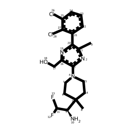 Cc1nc(N2CCC(C)([C@@H](N)C(F)F)CC2)c(CO)nc1-c1cccc(Cl)c1Cl